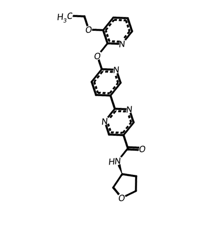 CCOc1cccnc1Oc1ccc(-c2ncc(C(=O)N[C@H]3CCOC3)cn2)cn1